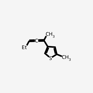 CCC=C=C(C)c1csc(C)c1